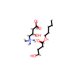 CCCCCOC(=O)CCCO.C[N+](C)(C)C[C@H](O)CC(=O)[O-]